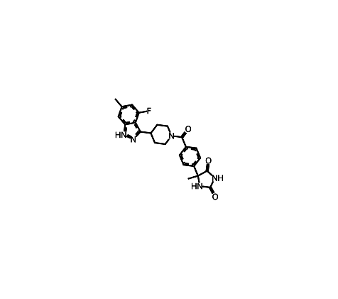 Cc1cc(F)c2c(C3CCN(C(=O)c4ccc(C5(C)NC(=O)NC5=O)cc4)CC3)n[nH]c2c1